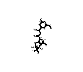 CCc1cc(C(O)CC(=O)c2sc(C)c3c2C[C@@H]2[C@H]3C2(C)C)cc(C)n1